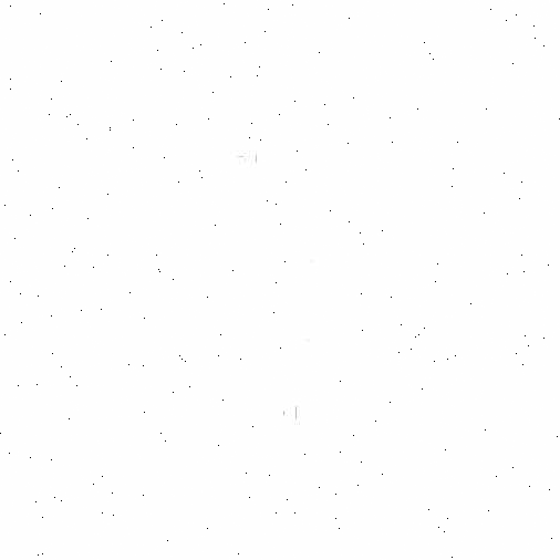 CCCCC=Cc1ccc(CCl)cc1